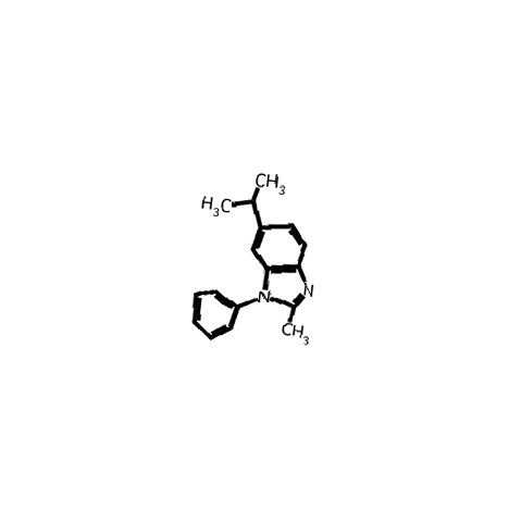 Cc1nc2ccc(C(C)C)cc2n1-c1ccccc1